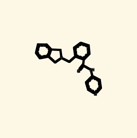 O=C(Nc1ccncc1)c1ccccc1CN1Cc2ccccc2C1